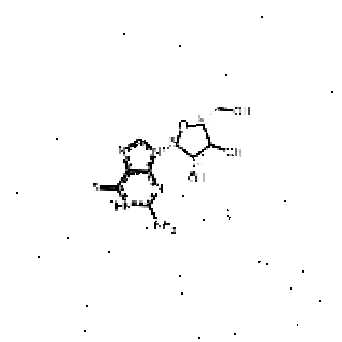 Nc1nc2c(ncn2[C@@H]2O[C@H](CO)C(O)[C@@H]2O)c(=S)[nH]1